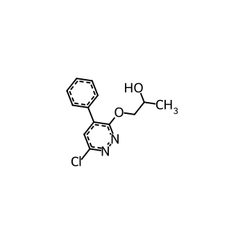 CC(O)COc1nnc(Cl)cc1-c1ccccc1